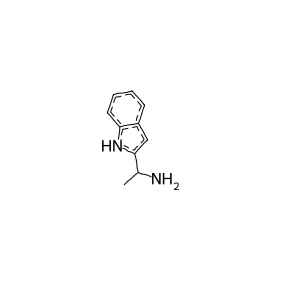 CC(N)c1cc2ccccc2[nH]1